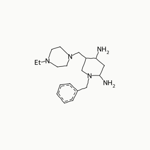 CCN1CCN(CC2CN(Cc3ccccc3)C(N)CC2N)CC1